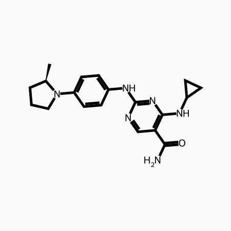 C[C@@H]1CCCN1c1ccc(Nc2ncc(C(N)=O)c(NC3CC3)n2)cc1